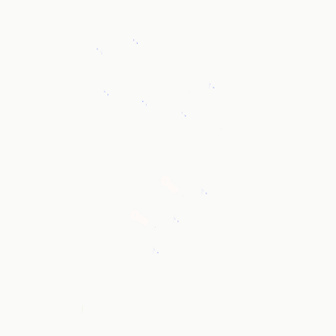 O=C(Nc1ccc(F)c(Nc2ncccc2-c2ncnc3[nH]cnc23)c1F)N1CCN(c2ccc(F)cc2)C1=O